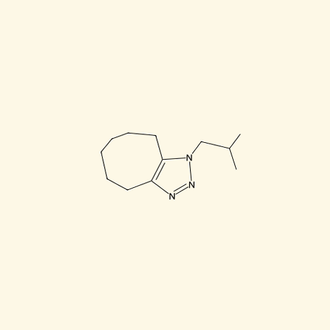 CC(C)Cn1nnc2c1CCCCCC2